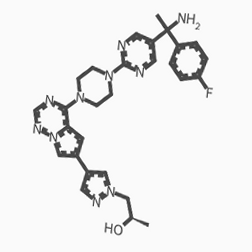 C[C@@H](O)Cn1cc(-c2cc3c(N4CCN(c5ncc(C(C)(N)c6ccc(F)cc6)cn5)CC4)ncnn3c2)cn1